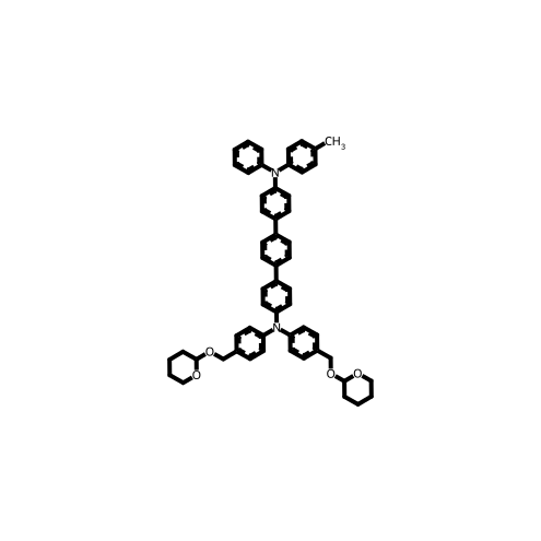 Cc1ccc(N(c2ccccc2)c2ccc(-c3ccc(-c4ccc(N(c5ccc(COC6CCCCO6)cc5)c5ccc(COC6CCCCO6)cc5)cc4)cc3)cc2)cc1